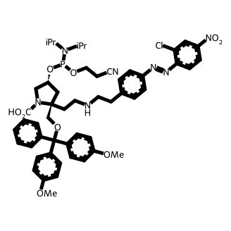 COc1ccc(C(OC[C@]2(CCNCCc3ccc(N=Nc4ccc([N+](=O)[O-])cc4Cl)cc3)C[C@@H](OP(OCCC#N)N(C(C)C)C(C)C)CN2C(=O)O)(c2ccccc2)c2ccc(OC)cc2)cc1